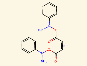 NN(OC(=O)/C=C\C(=O)ON(N)c1ccccc1)c1ccccc1